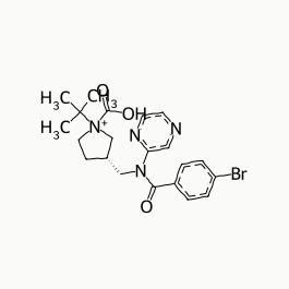 CC(C)(C)[N+]1(C(=O)O)CC[C@@H](CN(C(=O)c2ccc(Br)cc2)c2cnccn2)C1